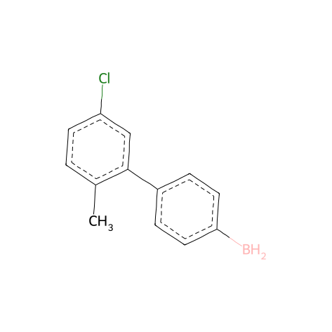 Bc1ccc(-c2cc(Cl)ccc2C)cc1